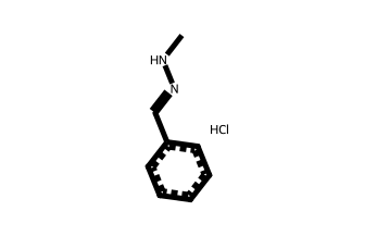 CN/N=C/c1ccccc1.Cl